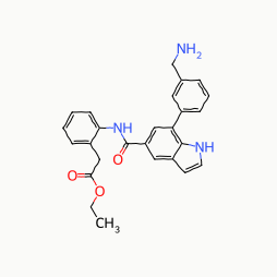 CCOC(=O)Cc1ccccc1NC(=O)c1cc(-c2cccc(CN)c2)c2[nH]ccc2c1